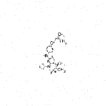 C=C1N(C)c2cnc(Nc3ccc(OCCN(C)C)cc3)nc2N(C2CCCC2)CC1(F)F